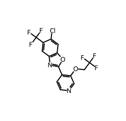 FC(F)(F)COc1cnccc1-c1nc2cc(C(F)(F)F)c(Cl)cc2o1